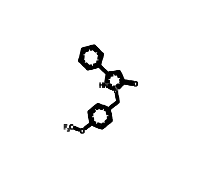 O=c1cc(-c2ccccc2)[nH]n1Cc1ccc(OC(F)(F)F)cc1